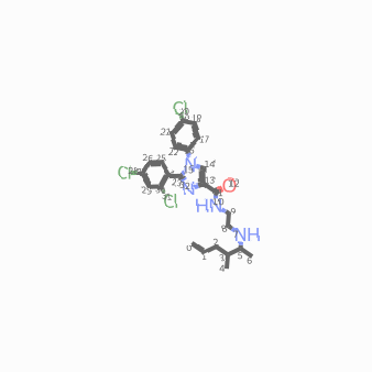 C=CCC(C)C(C)NCCNC(=O)c1cn(-c2ccc(Cl)cc2)c(-c2ccc(Cl)cc2Cl)n1